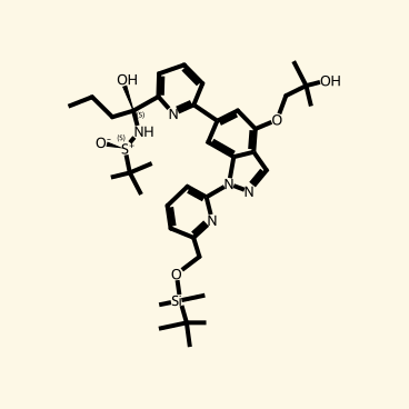 CCC[C@@](O)(N[S@+]([O-])C(C)(C)C)c1cccc(-c2cc(OCC(C)(C)O)c3cnn(-c4cccc(CO[Si](C)(C)C(C)(C)C)n4)c3c2)n1